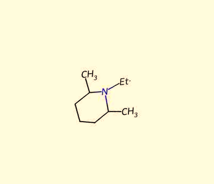 C[CH]N1C(C)CCCC1C